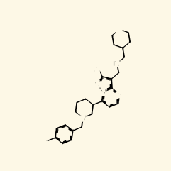 Cc1nn2c(C3CCCN(Cc4ccc(Cl)cc4)C3)ccnc2c1CNCC1CCOCC1